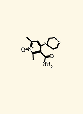 Cc1cc(N2CCSCC2)c(C(N)=O)c(C)[n+]1[O-]